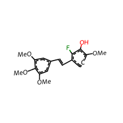 COc1ccc(C=Cc2cc(OC)c(OC)c(OC)c2)c(F)c1O